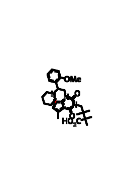 COc1ccccc1C(Cn1c(=O)n(CC(C)(C)C(C)(C)C(=O)O)c(=O)c2c(C)csc21)N1CCCCC1